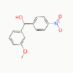 COc1cccc(C(O)c2ccc([N+](=O)[O-])cc2)c1